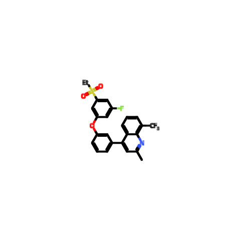 CCS(=O)(=O)c1cc(F)cc(Oc2cccc(-c3cc(C)nc4c(C(F)(F)F)cccc34)c2)c1